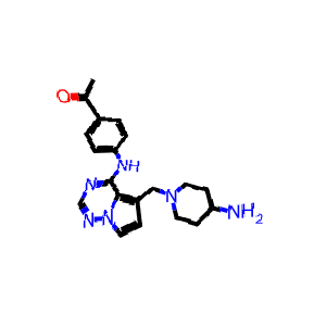 CC(=O)c1ccc(Nc2ncnn3ccc(CN4CCC(N)CC4)c23)cc1